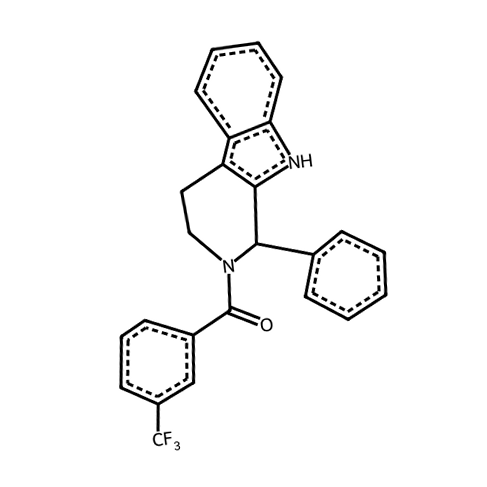 O=C(c1cccc(C(F)(F)F)c1)N1CCc2c([nH]c3ccccc23)C1c1ccccc1